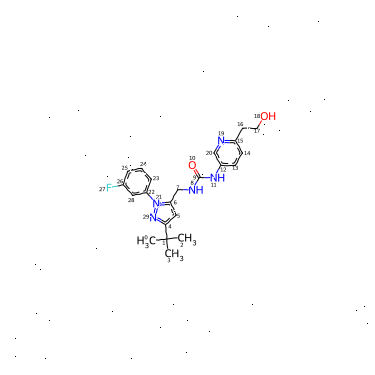 CC(C)(C)c1cc(CNC(=O)Nc2ccc(CCO)nc2)n(-c2cccc(F)c2)n1